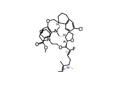 C/C=C(\C)[C@@H](C)C/C=C(\F)C(OCCN1CCOCC1)[C@@H]1OCC[C@H]1CN1C[C@@]2(CCCc3cc(Cl)ccc32)COc2ccc(C(=O)OC)cc21